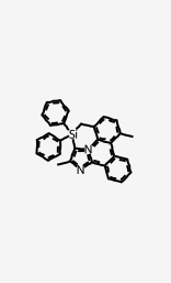 Cc1nc2c3ccccc3c3c(C)ccc4c3n2c1[Si](c1ccccc1)(c1ccccc1)C4